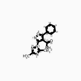 Cc1nc(C)n(-c2noc(-c3ccccc3)c2C(N)=O)n1